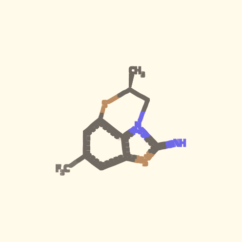 C[C@@H]1Cn2c(=N)sc3cc(C(F)(F)F)cc(c32)S1